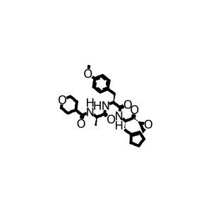 COc1ccc(C[C@H](NC(=O)[C@@H](C)NC(=O)C2CCOCC2)C(=O)N[C@@H](CC2=CCCC2)C(=O)[C@H]2CO2)cc1